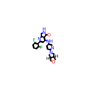 O=C1NCc2nc(-c3c(F)cccc3F)cc(Nc3ccc(N4C[C@H]5COC[C@H]5C4)nc3)c21